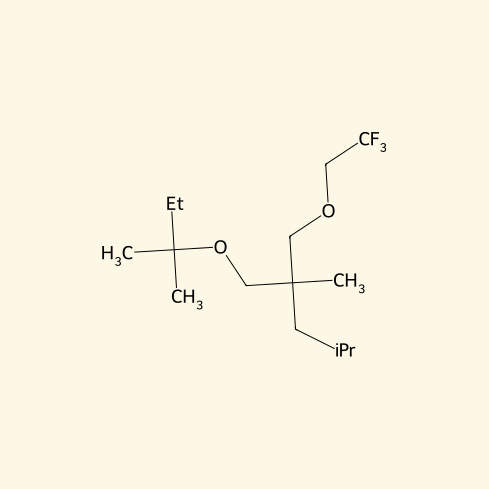 CCC(C)(C)OCC(C)(COCC(F)(F)F)CC(C)C